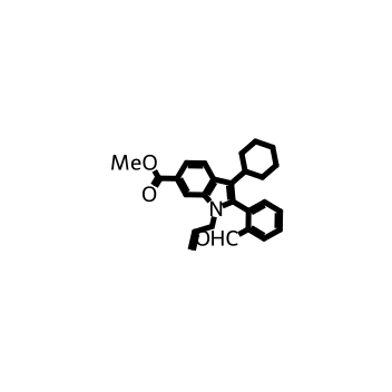 C=CCn1c(-c2ccccc2C=O)c(C2CCCCC2)c2ccc(C(=O)OC)cc21